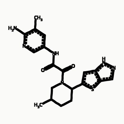 Cc1cc(NC(=O)C(=O)N2CC(C)CCC2c2cc3[nH]ncc3s2)cnc1N